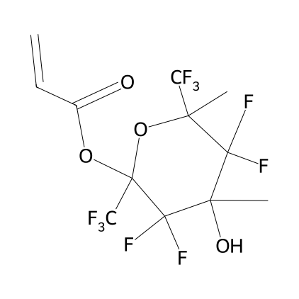 C=CC(=O)OC1(C(F)(F)F)OC(C)(C(F)(F)F)C(F)(F)C(C)(O)C1(F)F